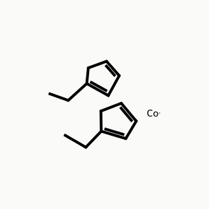 CCC1=CC=CC1.CCC1=CC=CC1.[Co]